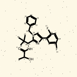 CC(O)C(=O)N[C@@H](c1nc(-c2cc(F)ccc2F)cn1Cc1ccccc1)C(C)(C)C